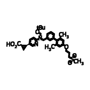 Cc1cc(OCCCS(C)(=O)=O)cc(C)c1-c1cccc(CN(COC(C)(C)C)c2ccc([C@@H]3C[C@H]3C(=O)O)cn2)c1